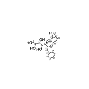 O.OCC(O)C(O)C(O)C(O)C(Cc1ccccc1)Oc1ccccc1